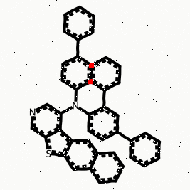 c1ccc(-c2ccc(N(c3ccc(-c4ccccc4)cc3-c3ccccc3)c3cncc4sc5cc6ccccc6cc5c34)cc2)cc1